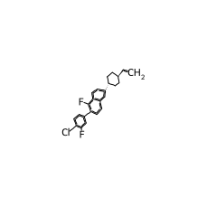 C=C[C@H]1CC[C@H](c2ccc3c(F)c(-c4ccc(Cl)c(F)c4)ccc3c2)CC1